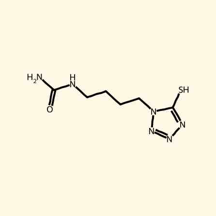 NC(=O)NCCCCn1nnnc1S